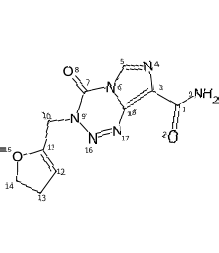 NC(=O)c1ncn2c(=O)n(CC3=CCCO3)nnc12